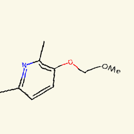 COCOc1ccc(C)nc1C